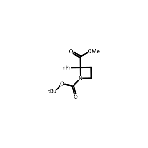 CCCC1(C(=O)OC)CCN1C(=O)OC(C)(C)C